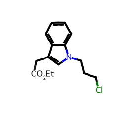 CCOC(=O)Cc1cn(CCCCl)c2ccccc12